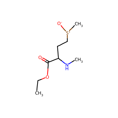 CCOC(=O)C(CC[S+](C)[O-])NC